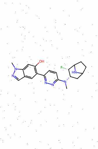 CN(c1ccc(-c2cc3cnn(C)c3cc2O)nn1)[C@H]1CC2CCC(N2)[C@H]1F